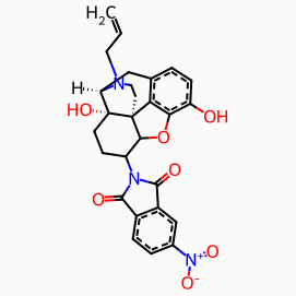 C=CCN1CC[C@]23c4c5ccc(O)c4OC2C(N2C(=O)c4ccc([N+](=O)[O-])cc4C2=O)CC[C@@]3(O)[C@H]1C5